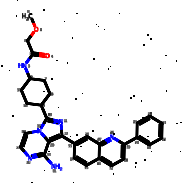 COCC(=O)NC1CCC(c2nc(-c3ccc4ccc(-c5ccccc5)nc4c3)c3c(N)nccn23)CC1